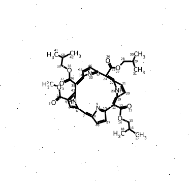 COC(=O)c1cc2cc3nc(c(C(=O)OCC(C)C)c4ccc([nH]4)c(C(=O)OCC(C)C)c4nc(c(C(=O)OCC(C)C)c1[nH]2)C=C4)C=C3